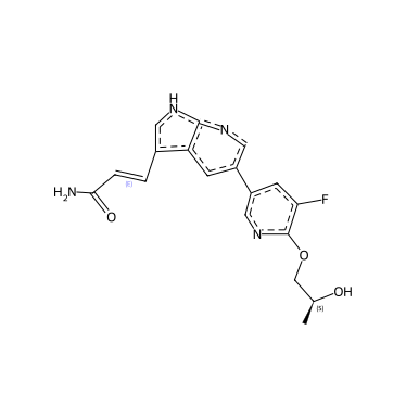 C[C@H](O)COc1ncc(-c2cnc3[nH]cc(/C=C/C(N)=O)c3c2)cc1F